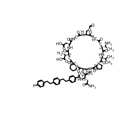 CC(C(=O)O)[C@@H]1CC(=O)[C@H]2CCCCN2C(=O)C(NC(=O)[C@H](CC(N)=O)NC(=O)c2ccc(CCc3ccc(CCc4ccc(F)cc4)cc3)cc2)[C@@H](C)NC(=O)[C@@H]2CCCN2C(=O)[C@H](C(C)C)NC(=O)[C@@H](C(C)N)CC(=O)CNC(=O)C(COC=O)NC(=O)CNC(=O)[C@H](CC(=O)O)NC1=O